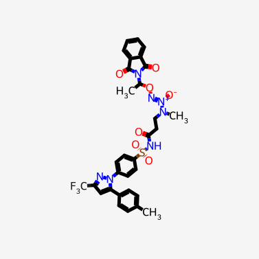 Cc1ccc(-c2cc(C(F)(F)F)nn2-c2ccc(S(=O)(=O)NC(=O)CCN(C)/[N+]([O-])=N/OC(C)N3C(=O)c4ccccc4C3=O)cc2)cc1